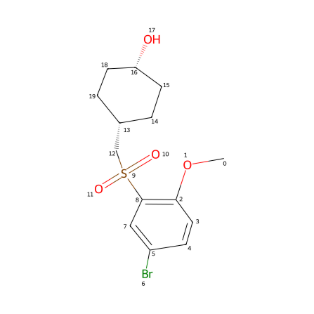 COc1ccc(Br)cc1S(=O)(=O)C[C@H]1CC[C@@H](O)CC1